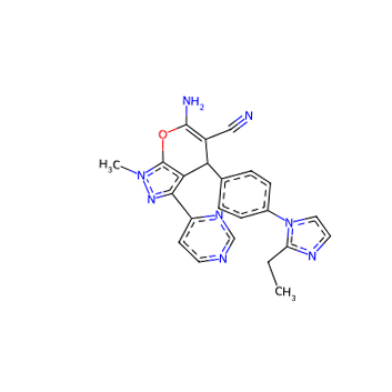 CCc1nccn1-c1ccc(C2C(C#N)=C(N)Oc3c2c(-c2ccncn2)nn3C)cc1